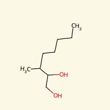 CCCCCC(C)C(O)CO